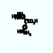 N=C(N)Nc1cccc(C(CCc2ccc(C(=N)N)cc2)CC(=O)O)c1